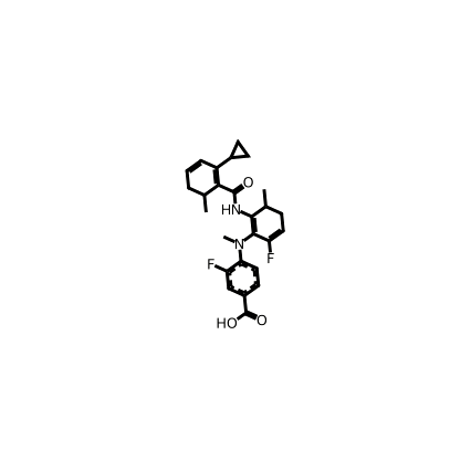 CC1CC=C(F)C(N(C)c2ccc(C(=O)O)cc2F)=C1NC(=O)C1=C(C2CC2)C=CCC1C